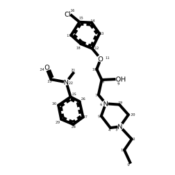 CCCN1CCN(CC(O)COc2ccc(Cl)cc2)CC1.CN(C=O)c1ccccc1